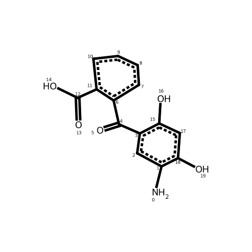 Nc1cc(C(=O)c2ccccc2C(=O)O)c(O)cc1O